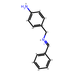 Nc1ccc(C/N=C/c2ccccc2)cc1